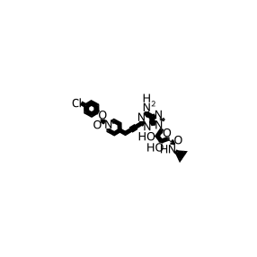 Nc1nc(C#CCC2CCN(C(=O)Oc3ccc(Cl)cc3)CC2)nc2c1ncn2[C@@H]1O[C@H](C(=O)NC2CC2)C(O)[C@@H]1O